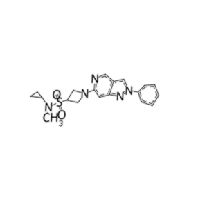 CN(C1CC1)S(=O)(=O)C1CN(c2cc3nn(-c4ccccc4)cc3cn2)C1